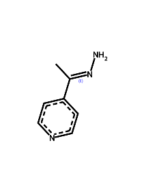 C/C(=N\N)c1ccncc1